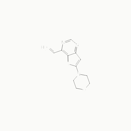 C=Cc1ncnc2cc(N3CCOCC3)sc12